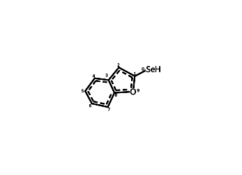 [SeH]c1cc2ccccc2o1